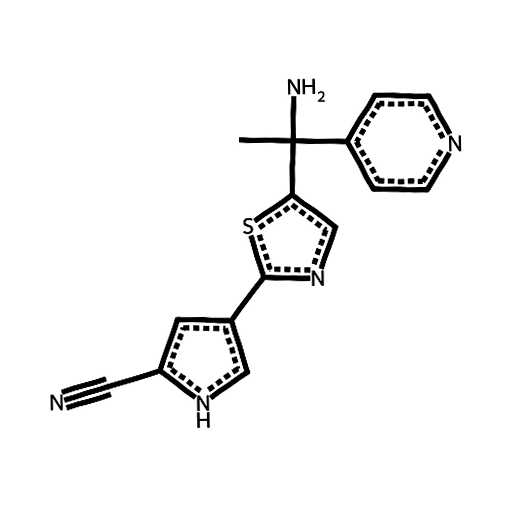 CC(N)(c1ccncc1)c1cnc(-c2c[nH]c(C#N)c2)s1